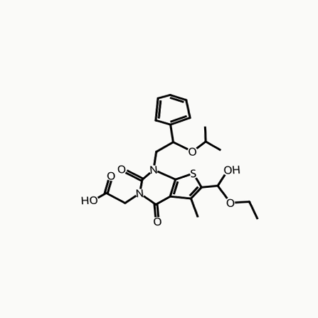 CCOC(O)c1sc2c(c1C)c(=O)n(CC(=O)O)c(=O)n2CC(OC(C)C)c1ccccc1